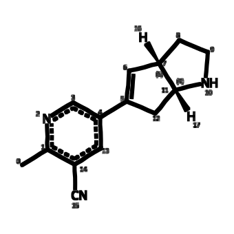 Cc1ncc(C2=C[C@@H]3CCN[C@@H]3C2)cc1C#N